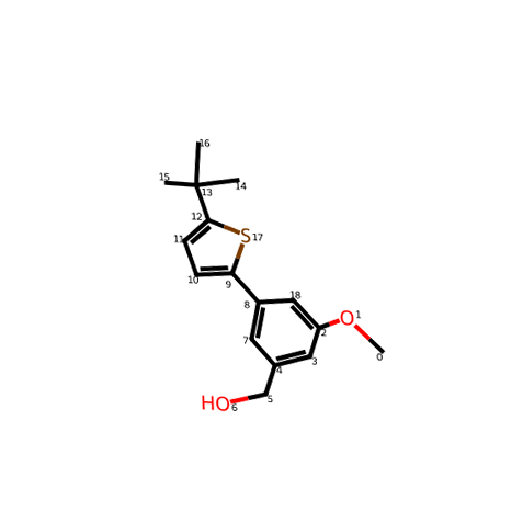 COc1cc(CO)cc(-c2ccc(C(C)(C)C)s2)c1